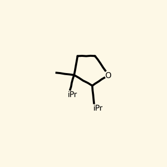 CC(C)C1OCCC1(C)C(C)C